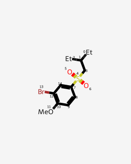 CCC(CC)CS(=O)(=O)c1ccc(OC)c(Br)c1